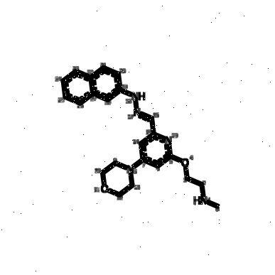 CNCCOc1cc(N2CCOCC2)cc(C=NNc2ccc3ccccc3c2)n1